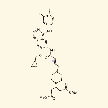 COC(=O)CC(CC(=O)OC)N1CCN(C/C=C/C(=O)Nc2cc3c(Nc4ccc(F)c(Cl)c4)ncnc3cc2OCC2CC2)CC1